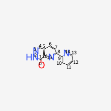 O=c1[nH]ncc2ccc(-c3ccccn3)nc12